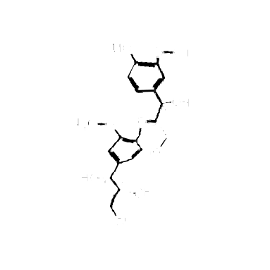 COc1cc([C@@H](O)[C@H](CO)Oc2ccc([C@@H](O)[C@H](O)CO)cc2OC)ccc1O